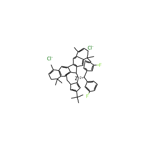 CCC1C=C(C(C)(C)C)C=[C]1[Zr+2](=[C](c1cccc(F)c1)c1cccc(F)c1)[CH]1c2cc3c(cc2-c2cc4c(cc21)C(C)(C)CC=C4C)C(C)=CCC3(C)C.[Cl-].[Cl-]